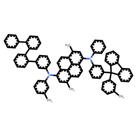 Cc1cccc(N(c2cccc(-c3ccccc3-c3ccccc3-c3ccccc3)c2)c2cc(C)c3ccc4c(N(c5ccccc5)c5cccc(C6(c7cccc(C)c7)c7ccccc7-c7ccccc76)c5)cc(C)c5ccc2c3c54)c1